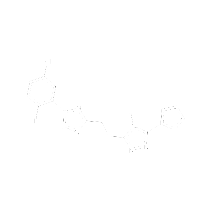 CCn1c(SCc2noc(-c3cc(Cl)ccc3F)n2)nnc1-c1cccs1